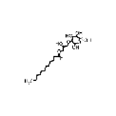 CCCCCCCCCCCC(F)OCC(O)CO[C@@H]1[C@@H](O)[C@@H](O)[C@@H](CO)O[C@H]1O